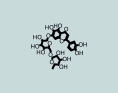 CC1OC(OCC2OC(Oc3cc4oc(-c5ccc(O)c(O)c5)cc(=O)c4c(O)c3O)C(O)C(O)C2O)C(O)C(O)C1O